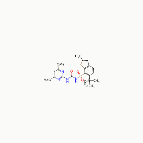 COc1cc(OC)nc(NC(=O)NS(=O)(=O)c2c([Si](C)(C)C)ccc3c2SC(C)C3)n1